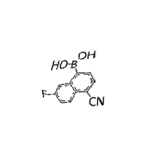 N#Cc1ccc(B(O)O)c2cc(F)ccc12